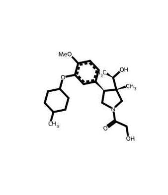 COc1ccc([C@@H]2CN(C(=O)CO)C[C@@]2(C)[C@@H](C)O)cc1OC1CCC(C)CC1